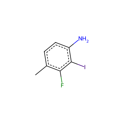 Cc1ccc(N)c(I)c1F